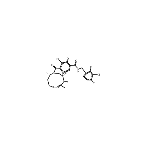 C/C1=N/OCC[C@H](C)N2C[C@H]([C@H]1C)n1cc(C(=O)NCc3ccc(F)c(Cl)c3F)c(=O)c(O)c1C2=O